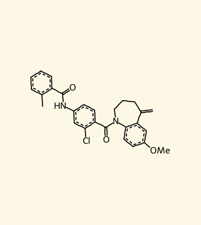 C=C1CCCN(C(=O)c2ccc(NC(=O)c3ccccc3C)cc2Cl)c2ccc(OC)cc21